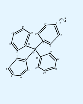 [PH4+].c1ccc([B-](c2ccccc2)(c2ccccc2)c2ccccc2)cc1